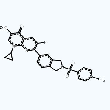 CCOC(=O)c1cn(C2CC2)c2nc(-c3ccc4c(c3)CN(S(=O)(=O)c3ccc(C)cc3)C4)c(F)cc2c1=O